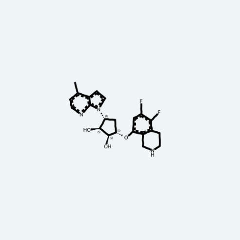 Cc1ccnc2c1ccn2[C@@H]1C[C@H](Oc2cc(F)c(F)c3c2CNCC3)[C@@H](O)[C@H]1O